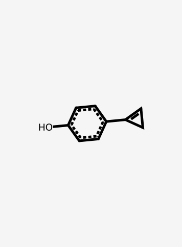 Oc1ccc(C2=CC2)cc1